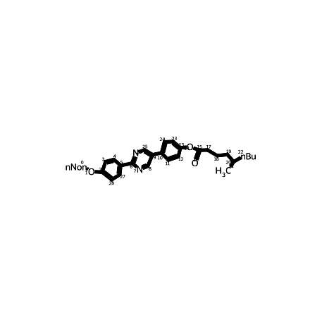 CCCCCCCCCOc1ccc(-c2ncc(-c3ccc(OC(=O)CCCC(C)CCCC)cc3)cn2)cc1